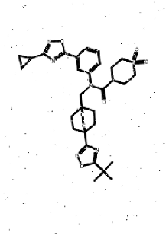 CC(C)(C)c1nc(C23CCC(CN(C(=O)C4CCS(=O)(=O)CC4)c4cccc(-c5nc(C6CC6)no5)c4)(CC2)CC3)no1